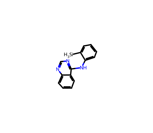 [SiH3]c1ccccc1Nc1ncnc2ccccc12